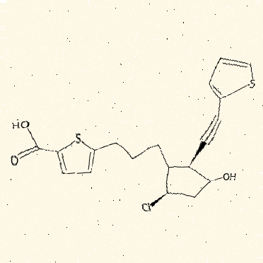 O=C(O)c1ccc(CCCC2[C@@H](C#Cc3cccs3)C(O)C[C@H]2Cl)s1